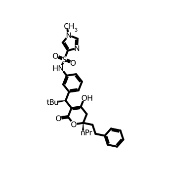 CCC[C@]1(CCc2ccccc2)CC(O)=C([C@H](c2cccc(NS(=O)(=O)c3cn(C)cn3)c2)C(C)(C)C)C(=O)O1